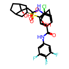 O=C(C[C@]1(O)C2CCC1C[C@@H](S(=O)(=O)c1cc(C(=O)Nc3cc(F)c(F)c(F)c3)ccc1Cl)C2)NC1(CO)CC1